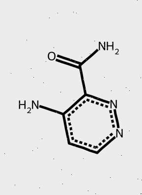 NC(=O)c1nnccc1N